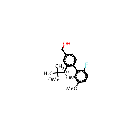 COc1ccc(F)c(-c2ccc(CO)cc2[C@H](OC)C(C)(C)OC)c1